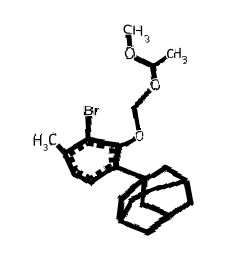 COC(C)OCOc1c(C23CC4CC(CC(C4)C2)C3)[c]cc(C)c1Br